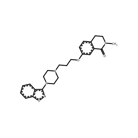 CN1CCc2ccc(OCCCN3CCN(c4nsc5ccccc45)CC3)cc2C1=O